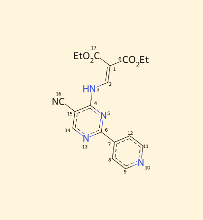 CCOC(=O)C(=CNc1nc(-c2ccncc2)ncc1C#N)C(=O)OCC